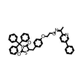 C/C(=N/OCCOc1ccc(CC2SC(=O)N(C(c3ccccc3)(c3ccccc3)c3ccccc3)C2=O)cc1)c1ccc(-c2ccccc2)cn1